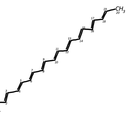 [CH]=CC=CC=CC=CC=CC=CC=CC=CC=CC=CC